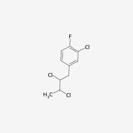 C[C](Cl)C(Cl)Cc1ccc(F)c(Cl)c1